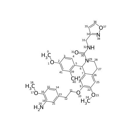 COc1ccc(C2c3cc(OCCc4ccc(OC)c(N)c4)c(OC)cc3CCN2C(=O)NCc2ccon2)c(C)c1